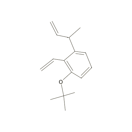 C=C[C](C)c1cccc(OC(C)(C)C)c1C=C